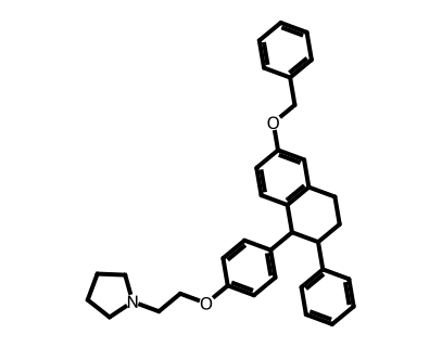 c1ccc(COc2ccc3c(c2)CCC(c2ccccc2)C3c2ccc(OCCN3CCCC3)cc2)cc1